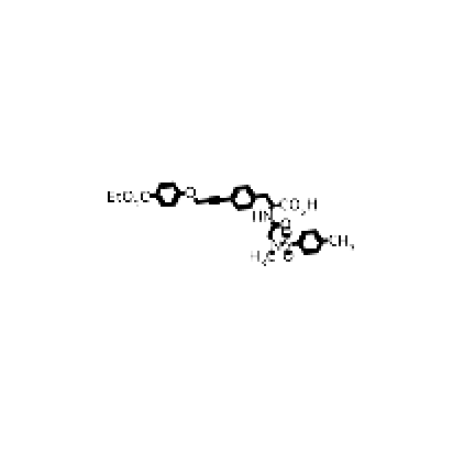 CCOC(=O)c1ccc(OCC#Cc2ccc(C[C@H](NC(=O)CN(C)S(=O)(=O)c3ccc(C)cc3)C(=O)O)cc2)cc1